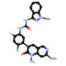 CNc1cc2c(cn1)cc(-c1cc(NC(=O)Nc3nn(C(C)(C)C)c4ccccc34)c(F)cc1Cl)c(=O)n2C